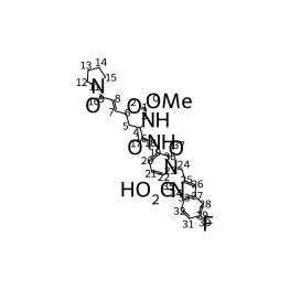 COC(=O)NC(CCC=CC(=O)N1CCCC1)C(=O)Nc1cccn(Cc2cc3cc(F)ccc3n2C(=O)O)c1=O